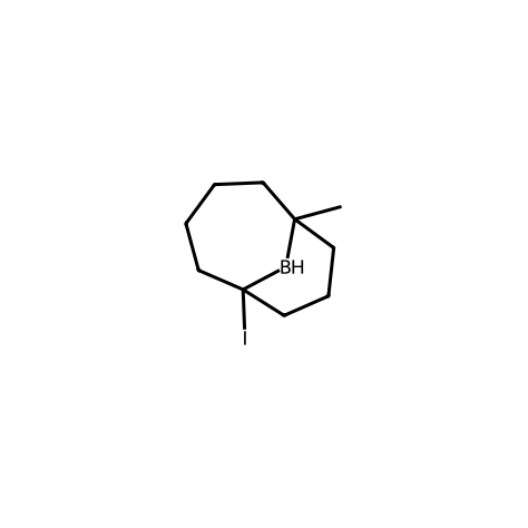 CC12BC(I)(CCCC1)CCC2